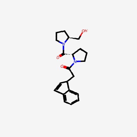 O=C([C@@H]1CCCN1C(=O)CC1C=Cc2ccccc21)N1CCC[C@H]1CO